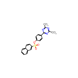 O=S(=O)(Oc1ccc(-c2nc(C(Cl)(Cl)Cl)nc(C(Cl)(Cl)Cl)n2)cc1)c1ccc2ccccc2c1